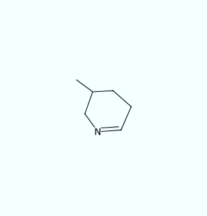 CC1CCC=NC1